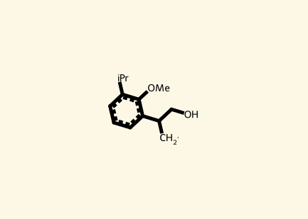 [CH2]C(CO)c1cccc(C(C)C)c1OC